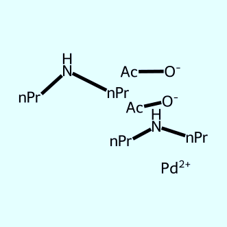 CC(=O)[O-].CC(=O)[O-].CCCNCCC.CCCNCCC.[Pd+2]